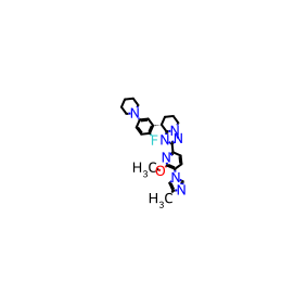 COc1nc(-c2nc3n(n2)CCC[C@H]3c2cc(N3CCCCC3)ccc2F)ccc1-n1cnc(C)c1